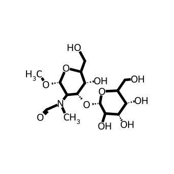 CO[C@@H]1OC(CO)[C@H](O)[C@H](O[C@@H]2OC(CO)[C@H](O)[C@H](O)C2O)C1N(C)C=O